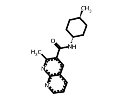 Cc1nc2ncccc2cc1C(=O)N[C@H]1CC[C@H](C)CC1